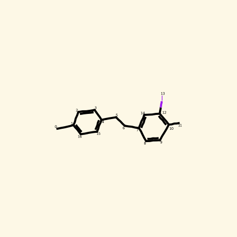 Cc1ccc(CCc2ccc(C)c(I)c2)cc1